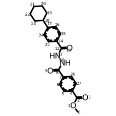 COC(=O)c1ccc(C(=O)NNC(=O)c2ccc(C3CCCCC3)cc2)cc1